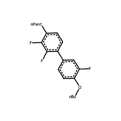 CCCCCc1ccc(-c2ccc(OCCCC)c(F)c2)c(F)c1F